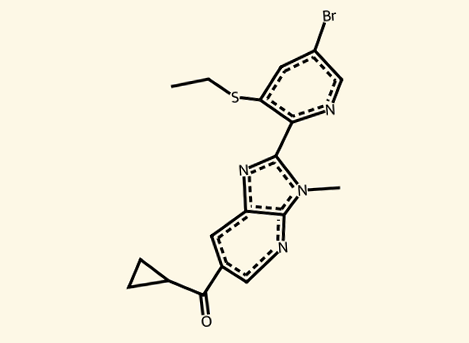 CCSc1cc(Br)cnc1-c1nc2cc(C(=O)C3CC3)cnc2n1C